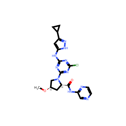 CO[C@H]1C[C@@H](C(=O)Nc2cnccn2)N(c2nc(Cl)nc(Nc3cc(C4CC4)n[nH]3)n2)C1